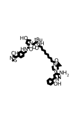 Cc1ncsc1-c1ccc(CNC(=O)[C@@H]2C[C@@H](O)CN2C(=O)[C@@H](NC(=O)CCCCCCCCC(=O)N2CCN(c3cc(-c4ccccc4O)nnc3N)CC23CC3)C(C)(C)C)cc1